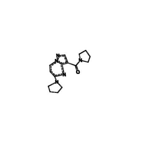 O=C(c1cnn2ccc(N3CCCC3)nc12)N1CCCC1